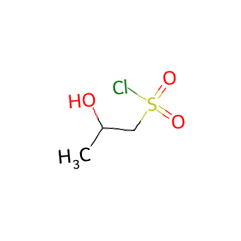 CC(O)CS(=O)(=O)Cl